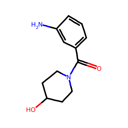 Nc1cccc(C(=O)N2CCC(O)CC2)c1